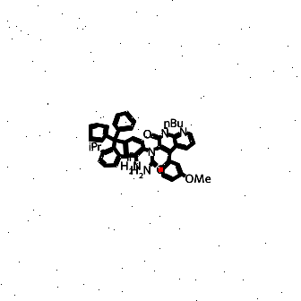 CCCCn1c(=O)c(N(C(N)=O)c2ccc(C(c3ccccc3)(c3ccccc3)c3c(C(C)C)cccc3C(C)C)cc2N)c(-c2cccc(OC)c2)c2cccnc21